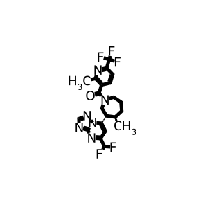 Cc1nc(C(F)(F)F)ccc1C(=O)N1CCC[C@@H](C)[C@H](c2cc(C(F)F)nc3ncnn23)C1